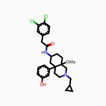 COC12CCC(NC(=O)Cc3ccc(Cl)c(Cl)c3)CC1(c1cccc(O)c1)CCN(CC1CC1)C2